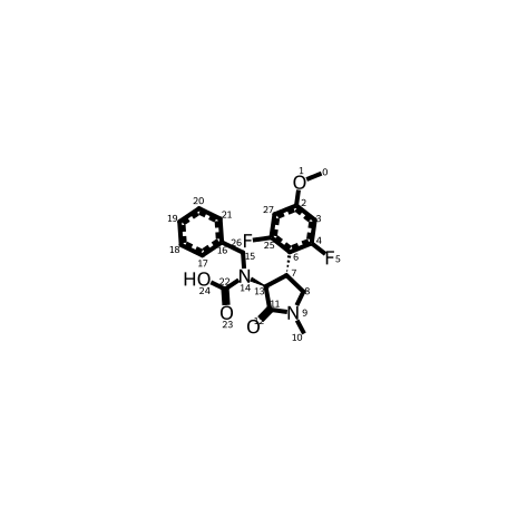 COc1cc(F)c([C@@H]2CN(C)C(=O)[C@H]2N(Cc2ccccc2)C(=O)O)c(F)c1